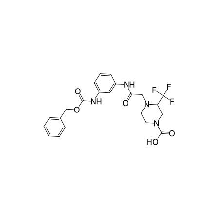 O=C(CN1CCN(C(=O)O)CC1C(F)(F)F)Nc1cccc(NC(=O)OCc2ccccc2)c1